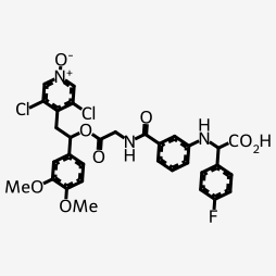 COc1ccc(C(Cc2c(Cl)c[n+]([O-])cc2Cl)OC(=O)CNC(=O)c2cccc(NC(C(=O)O)c3ccc(F)cc3)c2)cc1OC